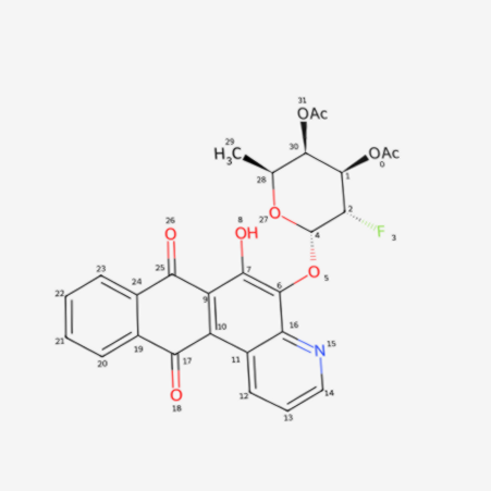 CC(=O)O[C@H]1[C@H](F)[C@H](Oc2c(O)c3c(c4cccnc24)C(=O)c2ccccc2C3=O)O[C@@H](C)[C@H]1OC(C)=O